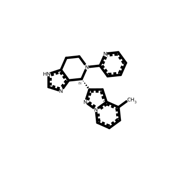 Cc1cccn2nc([C@@H]3c4nc[nH]c4CCN3c3ccccn3)cc12